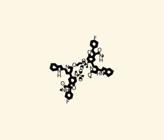 CNC(=O)c1c(-c2ccc(F)cc2)oc2cc(N(C)S(C)(=O)=O)c(-c3cc(OCCS(=O)(=O)N(C)c4cc5oc(-c6ccc(F)cc6)c(C(=O)NC)c5cc4-c4cc(-c5cc6ccccc6[nH]5)cc(OC)n4)nc(-c4cc5ccccc5[nH]4)c3)cc12